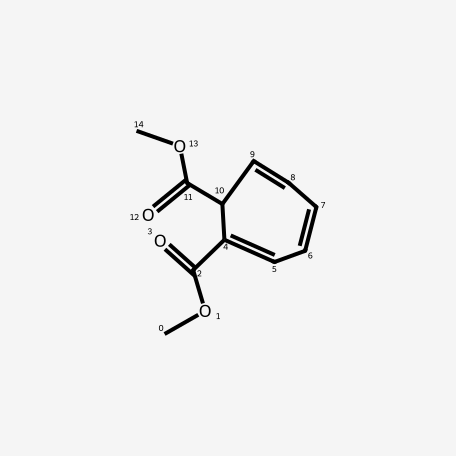 COC(=O)C1=CC=CC=CC1C(=O)OC